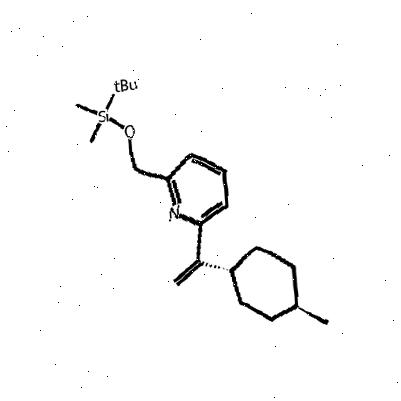 C=C(c1cccc(CO[Si](C)(C)C(C)(C)C)n1)[C@H]1CC[C@H](C)CC1